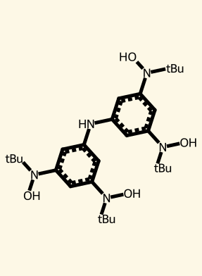 CC(C)(C)N(O)c1cc(Nc2cc(N(O)C(C)(C)C)cc(N(O)C(C)(C)C)c2)cc(N(O)C(C)(C)C)c1